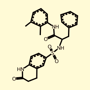 Cc1cccc(NC(=O)C(Cc2ccccc2)NS(=O)(=O)c2ccc3c(c2)CCC(=O)N3)c1C